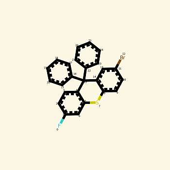 Fc1ccc2c(c1)Sc1ccc(Br)cc1C2(c1ccccc1)c1ccccc1